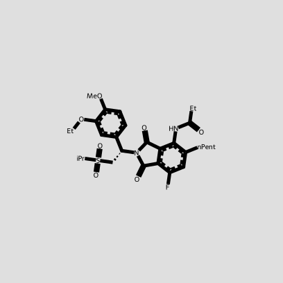 CCCCCc1cc(F)c2c(c1NC(=O)CC)C(=O)N([C@H](CS(=O)(=O)C(C)C)c1ccc(OC)c(OCC)c1)C2=O